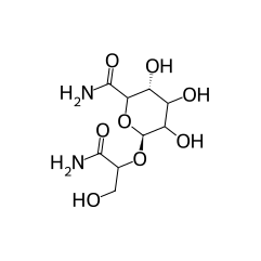 NC(=O)C(CO)O[C@H]1OC(C(N)=O)[C@H](O)C(O)C1O